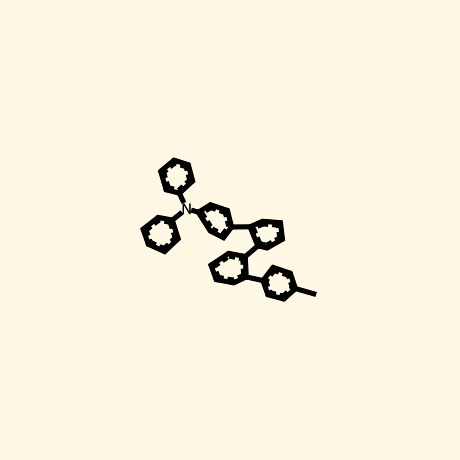 Cc1ccc(-c2ccccc2-c2ccccc2-c2ccc(N(c3ccccc3)c3ccccc3)cc2)cc1